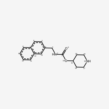 O=C(NCc1ccc2ccccc2c1)OC1CCNCC1